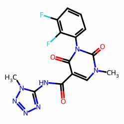 Cn1nnnc1NC(=O)c1cn(C)c(=O)n(-c2cccc(F)c2F)c1=O